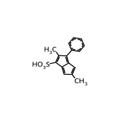 CC1=CC2=C(c3ccccc3)C(C)=C(S(=O)(=O)O)C2=C1